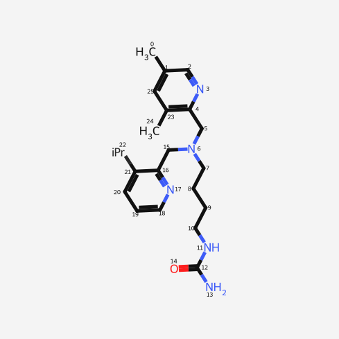 Cc1cnc(CN(CCCCNC(N)=O)Cc2ncccc2C(C)C)c(C)c1